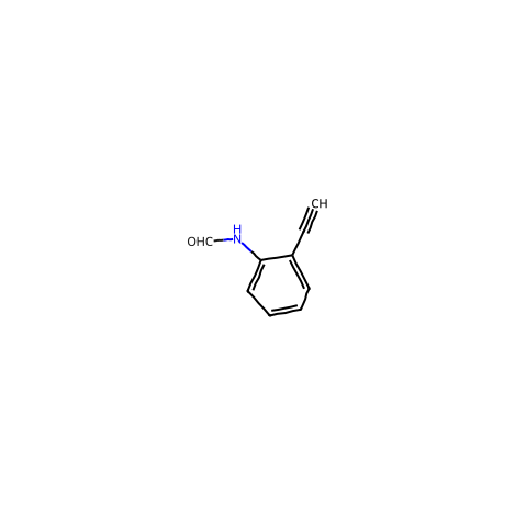 C#Cc1ccccc1NC=O